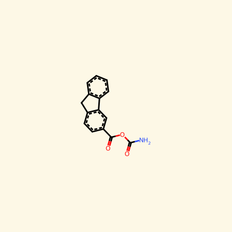 NC(=O)OC(=O)c1ccc2c(c1)-c1ccccc1C2